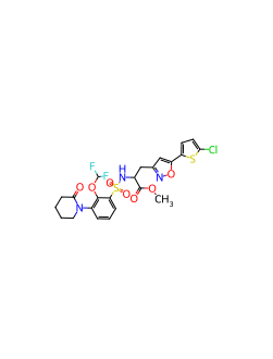 COC(=O)C(Cc1cc(-c2ccc(Cl)s2)on1)NS(=O)(=O)c1cccc(N2CCCCC2=O)c1OC(F)F